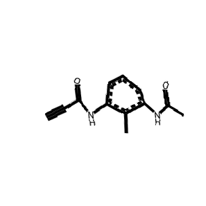 C#CC(=O)Nc1cccc(NC(C)=O)c1C